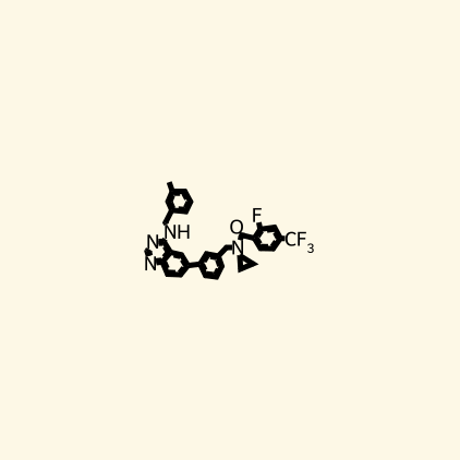 Cc1cccc(CNc2ncnc3ccc(-c4cccc(CN(C(=O)c5ccc(C(F)(F)F)cc5F)C5CC5)c4)cc23)c1